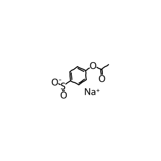 CC(=O)Oc1ccc(S(=O)[O-])cc1.[Na+]